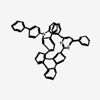 c1ccc(-c2ccc(-n3c4ccccc4c4ccc(-c5cccc6c7ccccc7c7ccc(-c8nc(-c9ccccc9)cc(-c9ccccc9)n8)cc7c56)cc43)cc2)cc1